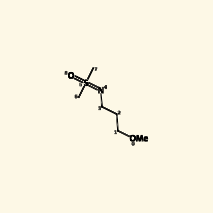 COCCCN=S(C)(C)=O